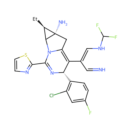 CC[C@@H]1C2N3C(c4nccs4)=N[C@@H](c4ccc(F)cc4Cl)C(/C(C=N)=C/NC(F)F)=C3C[C@@]21N